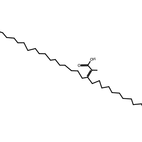 CCCCCCCCCCCCCCCCCC(CCCCCCCCCCF)=C(C)C(=O)O